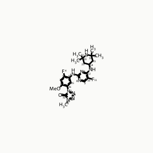 COc1cc(F)c(Nc2ncc(F)c(NC3CC(C)(C)NC(C)(C)C3)n2)cc1-n1nnn(C)c1=O